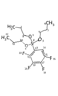 CCCO[Si](OCCC)(OCCC)c1cc(F)c(F)c(F)c1F